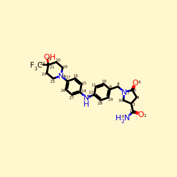 NC(=O)C1CC(=O)N(Cc2ccc(Nc3ccc(N4CCC(O)(C(F)(F)F)CC4)cc3)cc2)C1